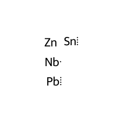 [Nb].[Pb].[Sn].[Zn]